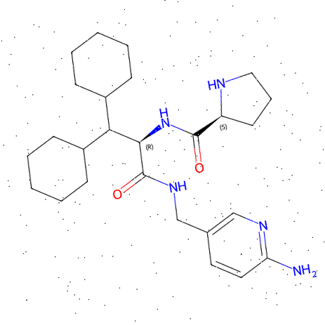 Nc1ccc(CNC(=O)[C@H](NC(=O)[C@@H]2CCCN2)C(C2CCCCC2)C2CCCCC2)cn1